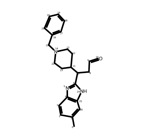 Cc1ccc2nc(C(CC=O)C3CCN(Cc4ccccc4)CC3)[nH]c2c1